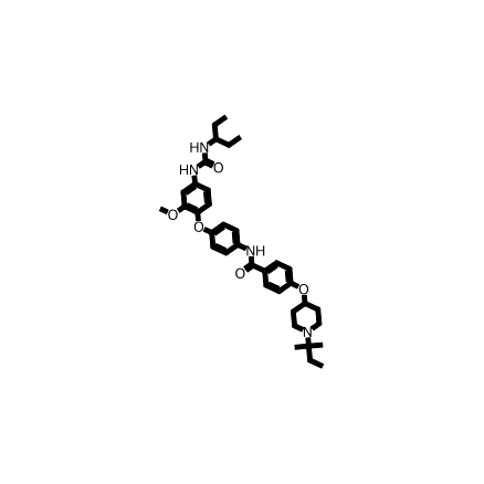 CCC(CC)NC(=O)Nc1ccc(Oc2ccc(NC(=O)c3ccc(OC4CCN(C(C)(C)CC)CC4)cc3)cc2)c(OC)c1